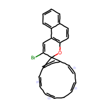 BrC1=Cc2c(ccc3ccccc23)OC12C1=C=C2/C=C\C=C/C/C=C\C=C/1